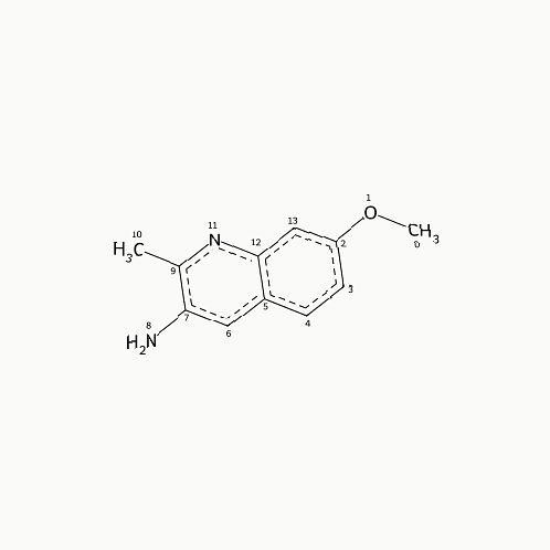 COc1ccc2cc(N)c(C)nc2c1